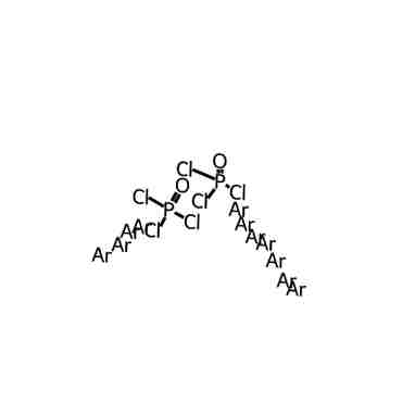 O=P(Cl)(Cl)Cl.O=P(Cl)(Cl)Cl.[Ar].[Ar].[Ar].[Ar].[Ar].[Ar].[Ar].[Ar].[Ar].[Ar].[Ar]